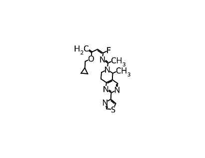 C=C(/C=C(F)\N=C(/C)N1CCc2nc(-c3cscn3)ncc2C1C)OCC1CC1